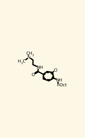 CCCCCCCCNc1ccc(C(=O)NCCN(C)C)cc1Cl